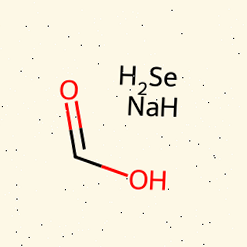 O=CO.[NaH].[SeH2]